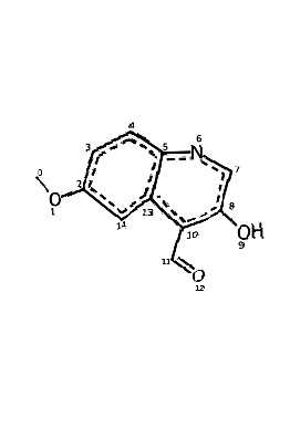 COc1ccc2ncc(O)c(C=O)c2c1